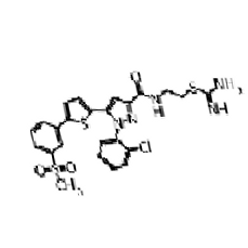 CS(=O)(=O)c1cccc(-c2ccc(-c3cc(C(=O)NCCSC(=N)N)nn3-c3ccccc3Cl)s2)c1